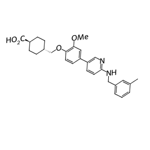 COc1cc(-c2ccc(NCc3cccc(C)c3)nc2)ccc1OC[C@H]1CC[C@H](C(=O)O)CC1